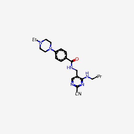 CCN1CCN(c2ccc(C(=O)NCc3cnc(C#N)nc3NCC(C)C)cc2)CC1